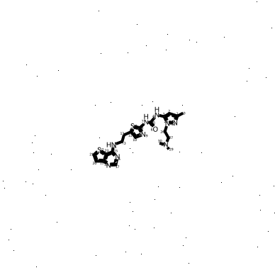 Cc1cc(NC(=O)Nc2ncc(CCNc3ncnc4ccsc34)s2)n(CCN(C)C)n1